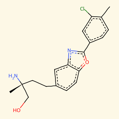 Cc1ccc(-c2nc3cc(CC[C@@](C)(N)CO)ccc3o2)cc1Cl